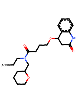 CC(=O)OCCN(CC1CCCCO1)C(=O)CCCOC1CC(=O)Nc2ccccc21